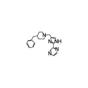 c1ccc(CC2CCN(Cc3c[nH]c(-c4cnccn4)n3)CC2)cc1